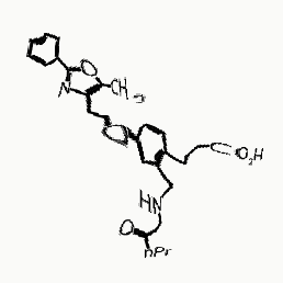 CCCC(=O)CNCc1cc(OCCc2nc(-c3ccccc3)oc2C)ccc1CCC(=O)O